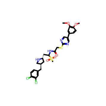 COc1ccc(-c2cnc(SCC(=O)NC(C[C@@H]3C[C@@H](Cc4ccc(Cl)c(Cl)c4)CN3)S(C)(=O)=O)nc2)cc1OC